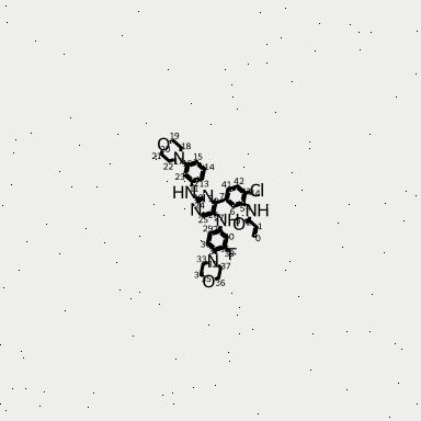 C=CC(=O)Nc1cc(-c2nc(Nc3cccc(N4CCOCC4)c3)ncc2Nc2ccc(N3CCOCC3)c(F)c2)ccc1Cl